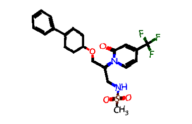 CS(=O)(=O)NCC(COC1CCC(c2ccccc2)CC1)n1ccc(C(F)(F)F)cc1=O